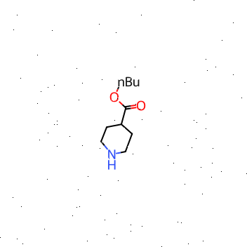 CCCCOC(=O)C1CCNCC1